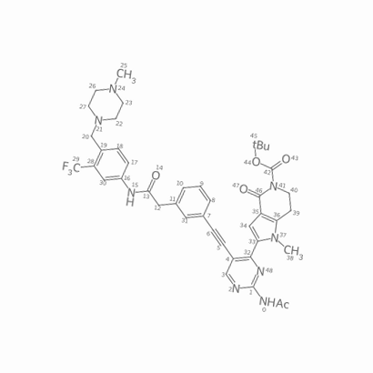 CC(=O)Nc1ncc(C#Cc2cccc(CC(=O)Nc3ccc(CN4CCN(C)CC4)c(C(F)(F)F)c3)c2)c(-c2cc3c(n2C)CCN(C(=O)OC(C)(C)C)C3=O)n1